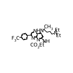 CCOC(=O)Nc1cc(NC(C)CCCN(CC)CC)c2ncc(-c3ccc(C(F)(F)F)cc3)nc2n1